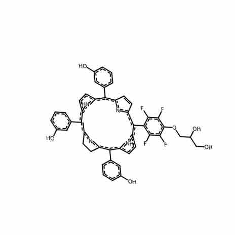 OCC(O)COc1c(F)c(F)c(-c2c3nc(c(-c4cccc(O)c4)c4ccc([nH]4)c(-c4cccc(O)c4)c4nc(c(-c5cccc(O)c5)c5ccc2[nH]5)CC4)C=C3)c(F)c1F